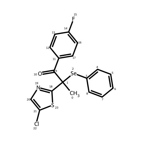 CC([Se]c1ccccc1)(C(=O)c1ccc(F)cc1)c1ncc(Cl)s1